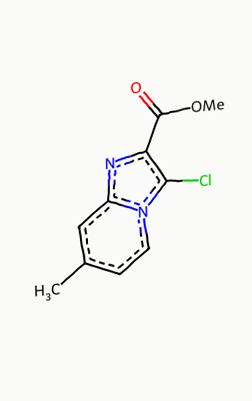 COC(=O)c1nc2cc(C)ccn2c1Cl